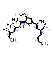 C\C=C/C=C(C)\C=C(/C)C1=CC(=N/C)/C(=C(\C)N/C(C)=C/C(O)=C\C)S1